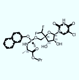 CC(C)OC(=O)[C@H](C)NP(=S)(OC[C@@]1(C(F)F)O[C@@H](n2cc(Cl)c(=O)[nH]c2=O)[C@@H](O)[C@@H]1O)Oc1ccc2ccccc2c1